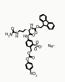 NC(=O)NCCC[C@H](NC(=O)OCC1c2ccccc2-c2ccccc21)C(=O)Nc1ccc(COC(=O)Oc2ccc([N+](=O)[O-])cc2)c(S(=O)(=O)[O-])c1.[Na+]